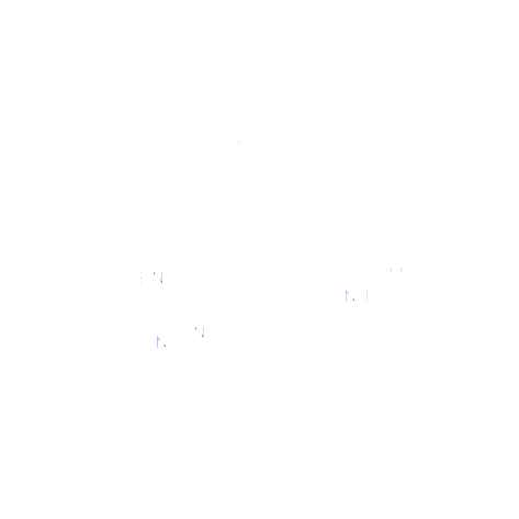 O=C1CC/C=C/COCc2cccc(c2)Nc2nccc(n2)-c2cccc(c2)N1